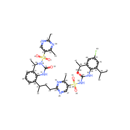 Cc1ncc(S(=O)(=O)NC(=O)Nc2c(C(C)C)cccc2C(C)CCc2ncc(S(=O)(=O)NC(=O)Nc3c(C(C)C)cc(F)cc3C(C)C)c(C)n2)c(C)n1